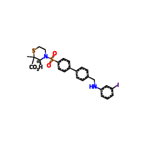 CC1(C)SCCN(S(=O)(=O)c2ccc(-c3ccc(CNc4cccc(I)c4)cc3)cc2)[C@H]1C(=O)O